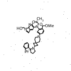 COC(=O)c1ccc(N2CCC3(CC2)CC(N2CCC[C@H]2c2ccccc2C(C)C)C3)cc1N1C[C@@H](C)Oc2nc3c(ccn3CO)cc21